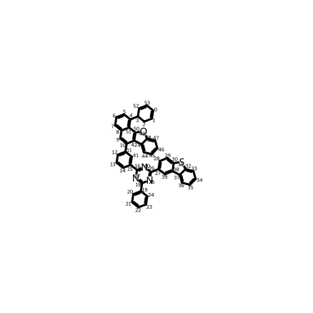 C1=CCC(c2cccc3cc(-c4cccc(-c5nc(-c6ccccc6)nc(-c6ccc7sc8ccccc8c7c6)n5)c4)c4c5ccccc5oc4c23)C=C1